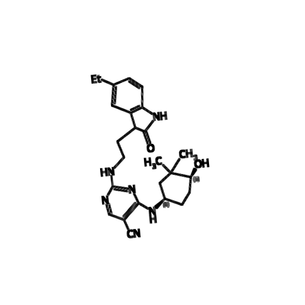 CCc1ccc2c(c1)C(CCNc1ncc(C#N)c(N[C@@H]3CC[C@H](O)C(C)(C)C3)n1)C(=O)N2